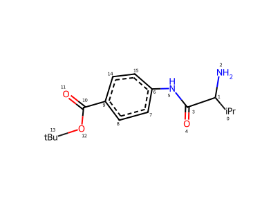 CC(C)C(N)C(=O)Nc1ccc(C(=O)OC(C)(C)C)cc1